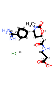 CN1C(=O)O[C@H](CC(=O)NCCC(=O)O)C[C@@H]1c1ccc(C(=N)N)cc1.Cl